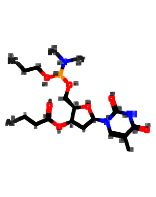 CC(=O)CCC(=O)O[C@@H]1C[C@H](n2cc(C)c(=O)[nH]c2=O)O[C@@H]1COP(OCCC#N)N(C(C)C)C(C)C